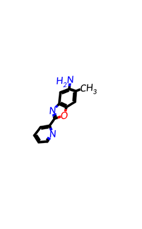 Cc1cc2oc(-c3ccccn3)nc2cc1N